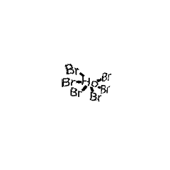 [Br][Ho]([Br])([Br])([Br])([Br])[Br]